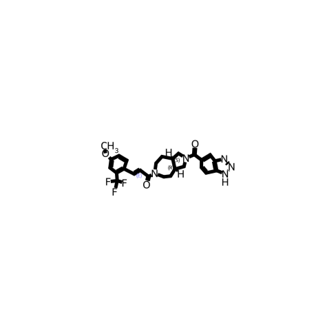 COc1ccc(/C=C/C(=O)N2CC[C@@H]3CN(C(=O)c4ccc5[nH]nnc5c4)C[C@@H]3CC2)c(C(F)(F)F)c1